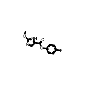 COc1ncc(C(=O)Oc2ccc(F)cc2)[nH]1